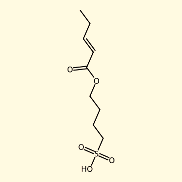 CCC=CC(=O)OCCCCS(=O)(=O)O